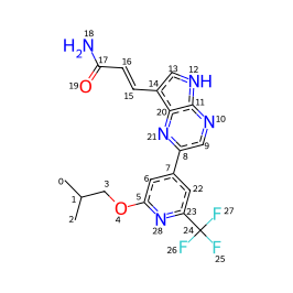 CC(C)COc1cc(-c2cnc3[nH]cc(C=CC(N)=O)c3n2)cc(C(F)(F)F)n1